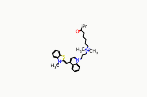 CC(C)C(=O)CCCCC[N+](C)(C)CCC[n+]1ccc(/C=C2\Sc3ccccc3N2C)c2ccccc21